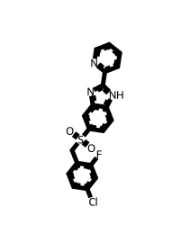 O=S(=O)(Cc1ccc(Cl)cc1F)c1ccc2[nH]c(-c3ccccn3)nc2c1